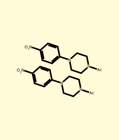 CC(=O)N1CCN(c2ccc([N+](=O)[O-])cc2)CC1.CC(=O)N1CCN(c2ccc([N+](=O)[O-])cc2)CC1